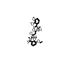 CCOc1cccc(C(=S)N(C)NC(=O)CC(=O)NN(C)C(=S)c2cccc(OC)c2OC)c1OC